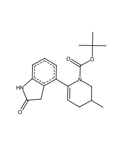 CC1CC=C(c2cccc3c2CC(=O)N3)N(C(=O)OC(C)(C)C)C1